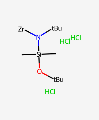 CC(C)(C)O[Si](C)(C)[N]([Zr])C(C)(C)C.Cl.Cl.Cl